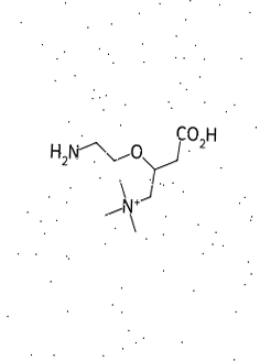 C[N+](C)(C)CC(CC(=O)O)OCCN